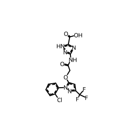 O=C(COc1cc(C(F)(F)F)nn1-c1ccccc1Cl)Nc1n[nH]c(C(=O)O)n1